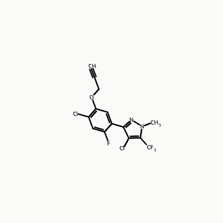 C#CCOc1cc(-c2nn(C)c(C(F)(F)F)c2Cl)c(F)cc1Cl